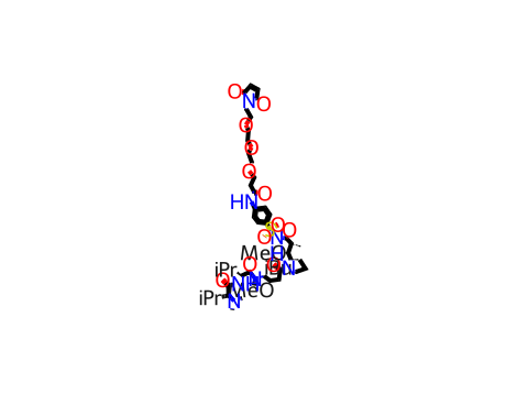 CC[C@H](C)[C@@H]([C@@H](CC(=O)N1CCC[C@H]1[C@H](OC)[C@@H](C)C(=O)NS(=O)(=O)c1ccc(NC(=O)CCOCCOCCOCCN2C(=O)C=CC2=O)cc1)OC)N(C)C(=O)[C@@H](NC(=O)C(C(C)C)N(C)C)C(C)C